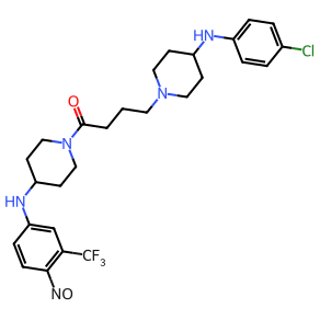 O=Nc1ccc(NC2CCN(C(=O)CCCN3CCC(Nc4ccc(Cl)cc4)CC3)CC2)cc1C(F)(F)F